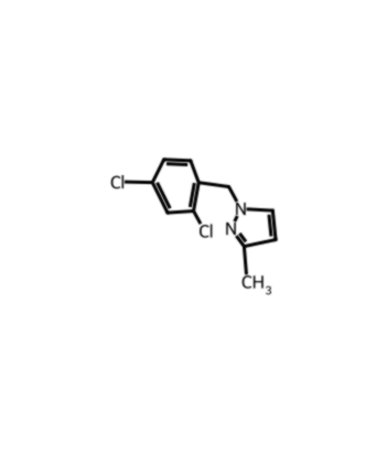 Cc1ccn(Cc2ccc(Cl)cc2Cl)n1